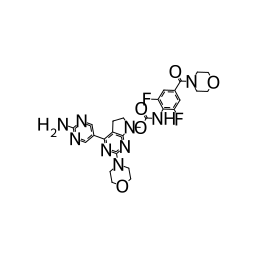 Nc1ncc(-c2nc(N3CCOCC3)nc3c2CCN3OC(=O)Nc2c(F)cc(C(=O)N3CCOCC3)cc2F)cn1